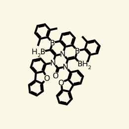 BC1=C2N3C(=C(B)B(c4c(C)cccc4C)c4cccc(c43)B1c1c(C)cccc1C)N(c1cccc3c1oc1ccccc13)C(=O)N2c1cccc2c1oc1ccccc12